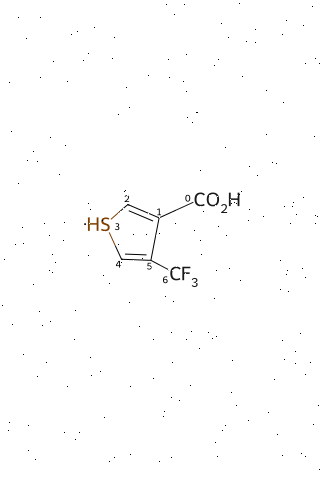 O=C(O)C1=C[SH]C=C1C(F)(F)F